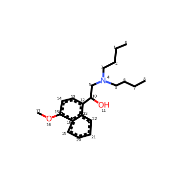 CCCCN(CCCC)CC(O)c1ccc(OC)c2ccccc12